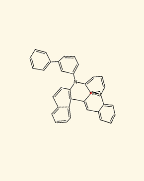 c1ccc(-c2cccc(N(c3ccccc3)c3ccc4ccccc4c3-c3ccc4ccccc4c3)c2)cc1